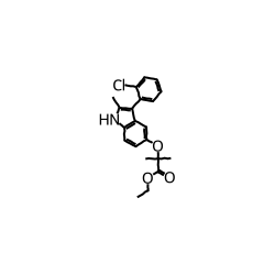 CCOC(=O)C(C)(C)Oc1ccc2[nH]c(C)c(-c3ccccc3Cl)c2c1